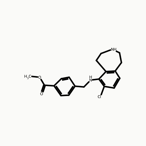 COC(=O)c1ccc(CNc2c(Cl)ccc3c2CCNCC3)cc1